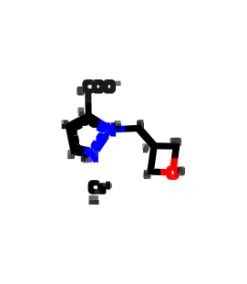 O=C([O-])c1ccnn1CC1COC1.[Cs+]